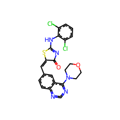 O=C1N=C(Nc2c(Cl)cccc2Cl)SC1=Cc1ccc2ncnc(N3CCOCC3)c2c1